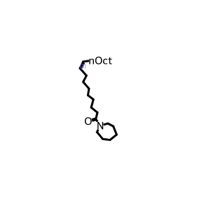 CCCCCCCC/C=C\CCCCCCCC(=O)N1CCCCCC1